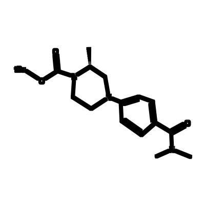 C[C@@H]1CN(c2ccc(C(=O)N(C)C)cc2)CCN1C(=O)OC(C)(C)C